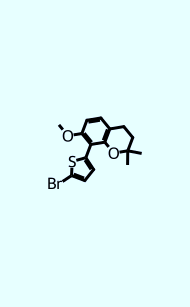 COc1ccc2c(c1-c1ccc(Br)s1)OC(C)(C)CC2